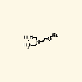 CCC(C)OCCN(CN)CN